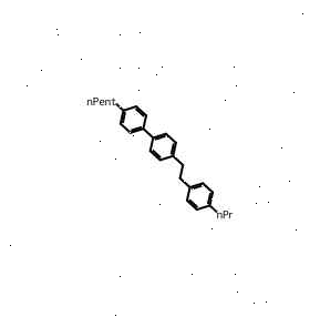 CCCCCc1ccc(-c2ccc(CCc3ccc(CCC)cc3)cc2)cc1